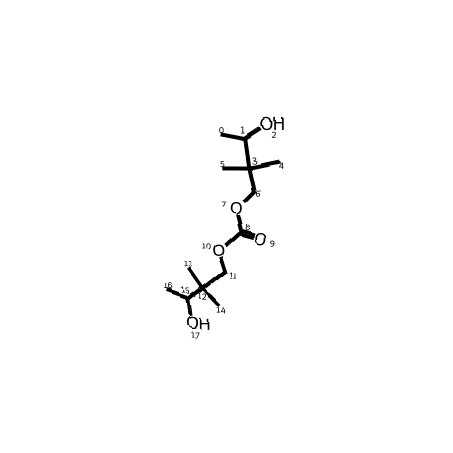 CC(O)C(C)(C)COC(=O)OCC(C)(C)C(C)O